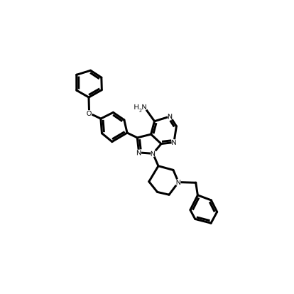 Nc1ncnc2c1c(-c1ccc(Oc3ccccc3)cc1)nn2C1CCCN(Cc2ccccc2)C1